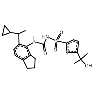 CC(c1ccc2c(c1NC(=O)NS(=O)(=O)c1ccc(C(C)(C)O)s1)CCC2)C1CC1